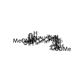 COC(=O)N[C@H](C(=O)N1CCOC[C@H]1c1nc2ccc3cc(-c4ccc5cc(-c6cnc([C@@H]7CCCN7C(=O)[C@H](NC(=O)OC)c7ccccc7)[nH]6)ccc5c4)ccc3c2[nH]1)C(C)C